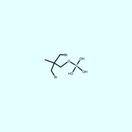 CC(CBr)(CBr)CO[Si](O)(O)O